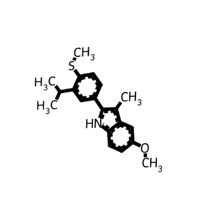 COc1ccc2[nH]c(-c3ccc(SC)c(C(C)C)c3)c(C)c2c1